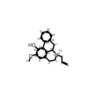 C=CC[N@@+]1(C)CCc2cc(OC)c(O)c3c2C1Cc1ccccc1-3